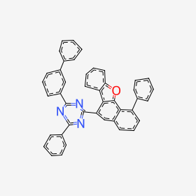 c1ccc(-c2cccc(-c3nc(-c4ccccc4)nc(-c4cc5cccc(-c6ccccc6)c5c5oc6ccccc6c45)n3)c2)cc1